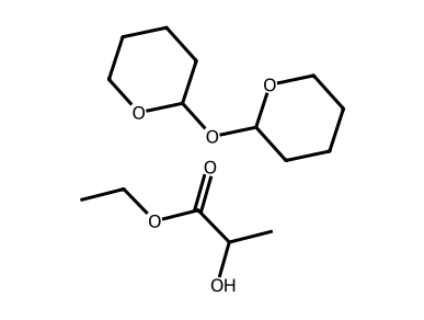 C1CCC(OC2CCCCO2)OC1.CCOC(=O)C(C)O